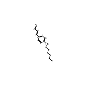 CCCCCCOc1ccc(C=CC=O)cc1